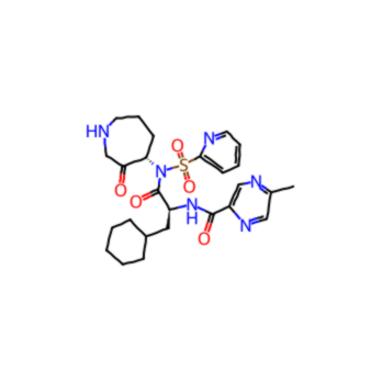 Cc1cnc(C(=O)N[C@@H](CC2CCCCC2)C(=O)N([C@H]2CCCNCC2=O)S(=O)(=O)c2ccccn2)cn1